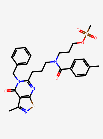 Cc1ccc(C(=O)N(CCCOS(C)(=O)=O)CCCc2nc3snc(C)c3c(=O)n2Cc2ccccc2)cc1